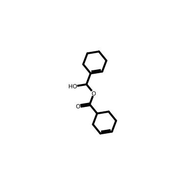 O=C(OC(O)C1=CCCCC1)C1CC=CCC1